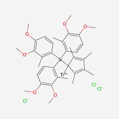 COc1ccc([Si](c2ccc(OC)c(OC)c2C)(c2ccc(OC)c(OC)c2C)[C]2([Ti+3])C(C)=C(C)C(C)=C2C)c(C)c1OC.[Cl-].[Cl-].[Cl-]